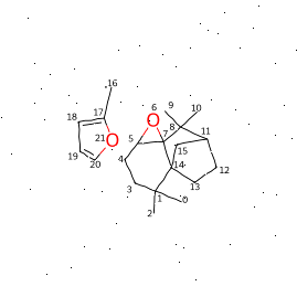 CC1(C)CCC2OC23C(C)(C)C2CCC13C2.[CH2]c1ccco1